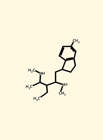 CCC(C(C)NC)C(CC1CCc2cc(C)ccc21)NC